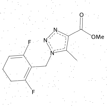 COC(=O)c1nnn(CC2=C(F)CCC=C2F)c1C